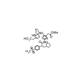 CC1(N)NC(CC(=O)O)=CS1.COC(=O)Cc1csc(NC(=O)C(CC2CCCC2)c2ccc(S(C)(=O)=O)cc2)n1